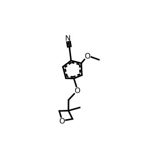 COc1cc(OCC2(C)COC2)ccc1C#N